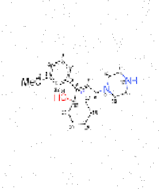 COc1cccc(/C(=C/CN2CCNCC2)C2(O)CCCCC2)c1